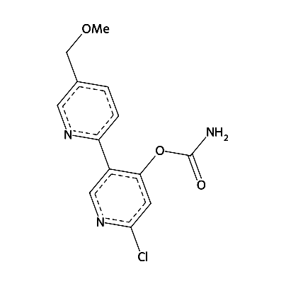 COCc1ccc(-c2cnc(Cl)cc2OC(N)=O)nc1